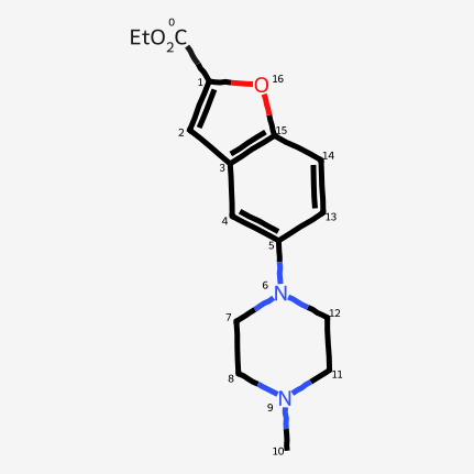 CCOC(=O)c1cc2cc(N3CCN(C)CC3)ccc2o1